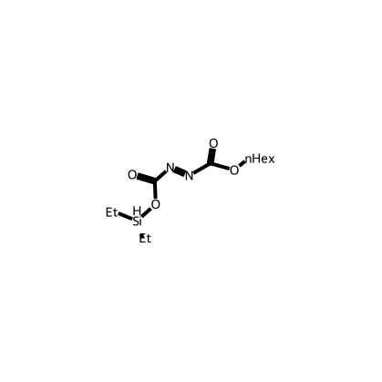 CCCCCCOC(=O)N=NC(=O)O[SiH](CC)CC